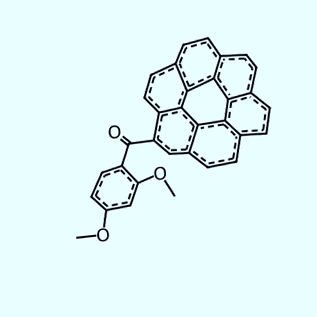 COc1ccc(C(=O)c2cc3ccc4ccc5ccc6ccc7ccc2c2c7c6c5c4c32)c(OC)c1